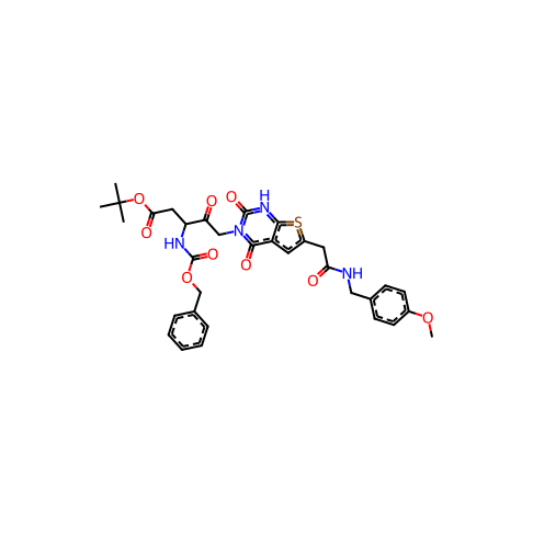 COc1ccc(CNC(=O)Cc2cc3c(=O)n(CC(=O)C(CC(=O)OC(C)(C)C)NC(=O)OCc4ccccc4)c(=O)[nH]c3s2)cc1